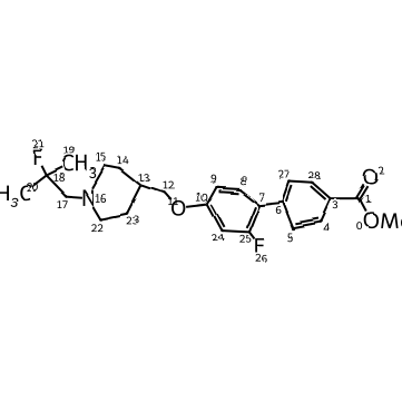 COC(=O)c1ccc(-c2ccc(OCC3CCN(CC(C)(C)F)CC3)cc2F)cc1